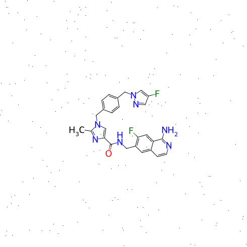 Cc1nc(C(=O)NCc2cc3ccnc(N)c3cc2F)cn1Cc1ccc(Cn2cc(F)cn2)cc1